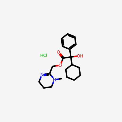 CN1CCCN=C1COC(=O)C(O)(c1ccccc1)C1CCCCC1.Cl